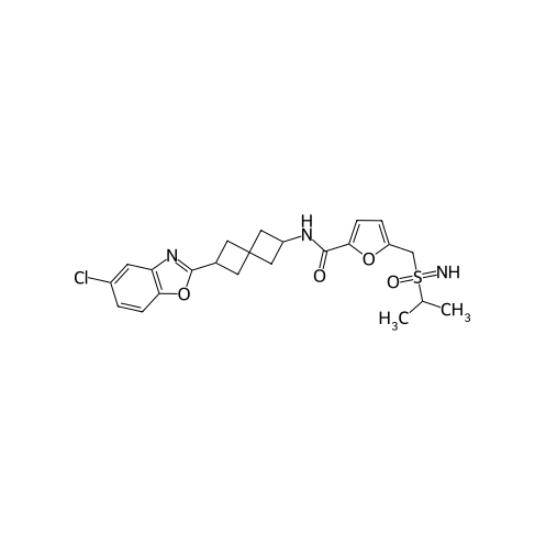 CC(C)S(=N)(=O)Cc1ccc(C(=O)NC2CC3(C2)CC(c2nc4cc(Cl)ccc4o2)C3)o1